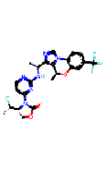 CC1Oc2cc(C(F)(F)F)ccc2-n2cnc([C@H](C)Nc3nccc(N4C(=O)OC[C@@H]4[C@H](C)F)n3)c21